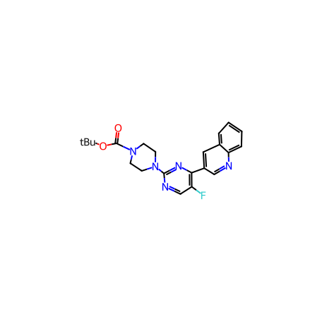 CC(C)(C)OC(=O)N1CCN(c2ncc(F)c(-c3cnc4ccccc4c3)n2)CC1